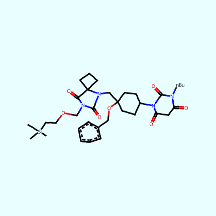 CCCCN1C(=O)CC(=O)N(C2CCC(CN3C(=O)N(COCC[Si](C)(C)C)C(=O)C34CCC4)(OCc3ccccc3)CC2)C1=O